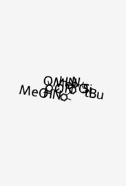 COc1cc(OC)cc(C(=O)Nc2ccc(C)c(-c3ccc4c(C(C)O[Si](C)(C)C(C)(C)C)n[nH]c4n3)c2)c1